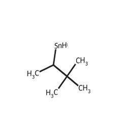 C[CH]([SnH])C(C)(C)C